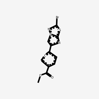 COC(=O)c1ccc(-c2cn3nc(Br)sc3n2)cc1